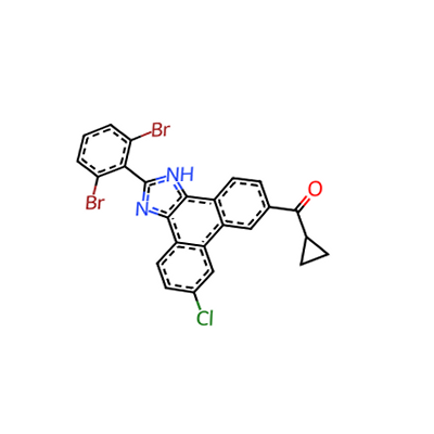 O=C(c1ccc2c(c1)c1cc(Cl)ccc1c1nc(-c3c(Br)cccc3Br)[nH]c21)C1CC1